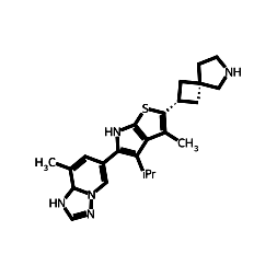 CC1=CC(c2[nH]c3sc([C@H]4C[C@@]5(CCNC5)C4)c(C)c3c2C(C)C)=CN2N=CNC12